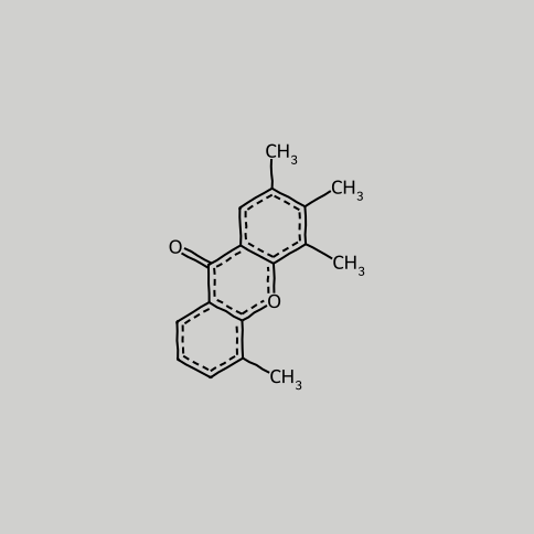 Cc1cc2c(=O)c3cccc(C)c3oc2c(C)c1C